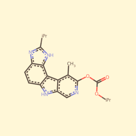 Cc1c(OC(=O)OC(C)C)ncc2[nH]c3ccc4nc(C(C)C)[nH]c4c3c12